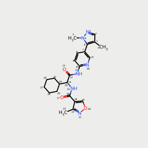 Cc1cnn(C)c1-c1ccc(NC(=O)[C@@H](NC(=O)c2conc2C)C2CCCCC2)nc1